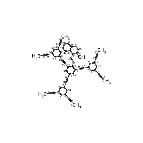 CC#Cc1cc(C#CC)cc(C#Cc2cc(C#Cc3cc(C#CC)cc(C#CC)c3)c(/N=N/c3c(O)ccc4ccccc34)c(C#Cc3cc(C#CC)cc(C#CC)c3)c2)c1